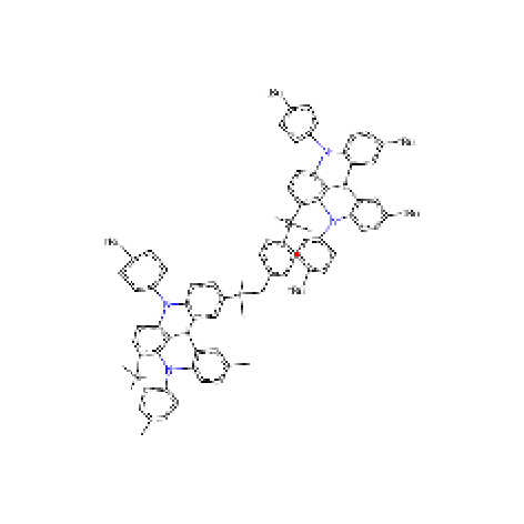 Cc1ccc(N2c3ccc(C)cc3B3c4cc(C(C)(C)Cc5ccc([Si](C)(C)c6ccc7c8c6N(c6ccc(C(C)(C)C)cc6)c6ccc(C(C)(C)C)cc6B8c6cc(C(C)(C)C)ccc6N7c6ccc(C(C)(C)C)cc6)cc5)ccc4N(c4ccc(C(C)(C)C)cc4)c4ccc([Si](C)(C)C)c2c43)cc1